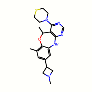 Cc1cc(C2CN(C)C2)cc2c1OC(C)c1c(ncnc1N1CCSCC1)N2